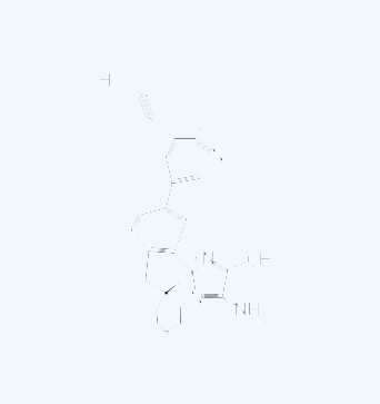 CC#Cc1cncc(-c2ccc3c(c2)[C@@]2(N=C(C)C(N)=N2)C2(CCCCC2)C3)c1